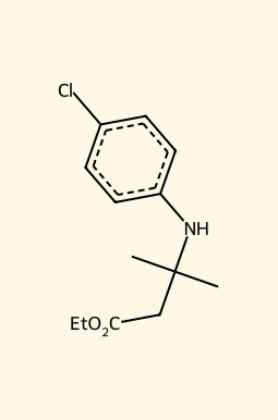 CCOC(=O)CC(C)(C)Nc1ccc(Cl)cc1